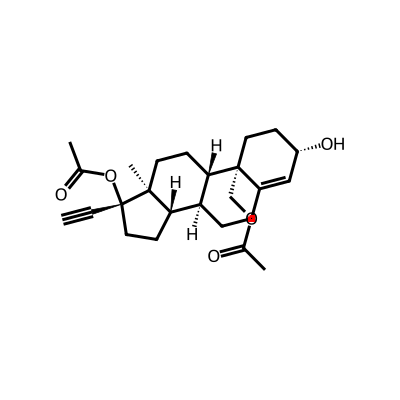 C#C[C@]1(OC(C)=O)CC[C@H]2[C@@H]3CCC4=C[C@@H](O)CC[C@]4(COC(C)=O)[C@H]3CC[C@@]21C